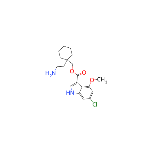 COc1cc(Cl)cc2[nH]cc(C(=O)OCC3(CCN)CCCCC3)c12